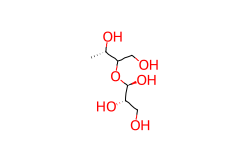 C[C@H](O)C(CO)O[C@@H](O)[C@@H](O)CO